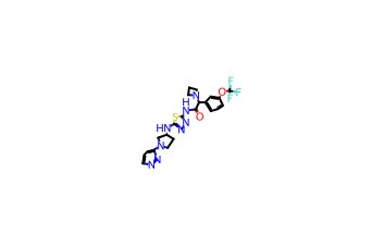 O=C(Nc1nnc(N[C@@H]2CCN(c3cccnn3)C2)s1)C(c1cccc(OC(F)(F)F)c1)N1CCC1